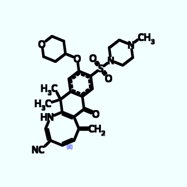 C=C1/C=C\C(C#N)=CNC2=C1C(=O)c1cc(S(=O)(=O)N3CCN(C)CC3)c(OC3CCOCC3)cc1C2(C)C